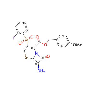 COc1ccc(COC(=O)C2=C(S(=O)(=O)c3ccccc3I)CSC3[C@H](N)C(=O)N23)cc1